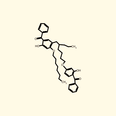 CCCCCCCCOc1cc(O)c(C(=O)c2ccccc2)cc1CC(CCC)CCCCOc1ccc(C(=O)c2ccccc2)c(O)c1